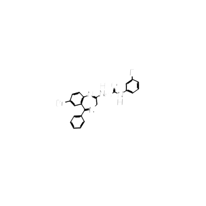 O=C(Nc1cccc(F)c1)ONC1=Nc2ccc(Br)cc2C(c2ccccc2)=NC1